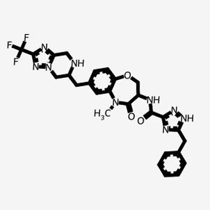 CN1C(=O)C(NC(=O)c2n[nH]c(Cc3ccccc3)n2)COc2ccc(CC3Cn4nc(C(F)(F)F)nc4CN3)cc21